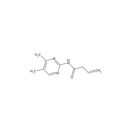 C=CCC(=O)Nc1ncc(C)c(C)n1